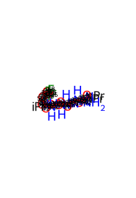 CCCN(CCC)C(=O)C1=Cc2ccc(C(=O)Nc3ccc(N4CCC(C(=O)NCCNC(=O)OCc5ccc(NC(=O)CNC(=O)[C@@H](NC(=O)CCC(C)(C)OCCC(C)(C)C(=O)Oc6c(F)c(F)cc(F)c6F)C(C)C)cc5)CC4)nc3)cc2N=C(N)C1